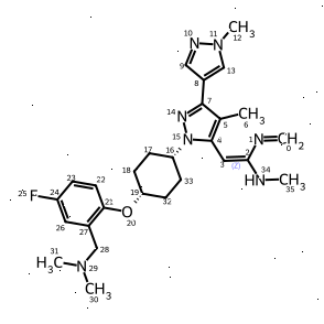 C=N/C(=C\c1c(C)c(-c2cnn(C)c2)nn1[C@H]1CC[C@@H](Oc2ccc(F)cc2CN(C)C)CC1)NC